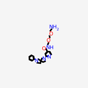 NCCOCCOCCNC(=O)c1ccnc(N2CCC3(CCN(c4ccccc4)C3)C2)c1